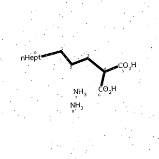 CCCCCCCCCCC(C(=O)O)C(=O)O.N.N